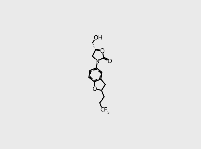 O=C1O[C@@H](CO)CN1c1ccc2c(c1)CC(CCC(F)(F)F)O2